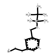 CC(C)(C)[Si](C)(C)OCc1cncc(CCBr)c1